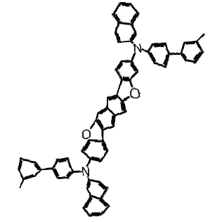 Cc1cccc(-c2ccc(N(c3ccc4ccccc4c3)c3ccc4c(c3)oc3cc5cc6c(cc5cc34)oc3cc(N(c4ccc(-c5cccc(C)c5)cc4)c4ccc5ccccc5c4)ccc36)cc2)c1